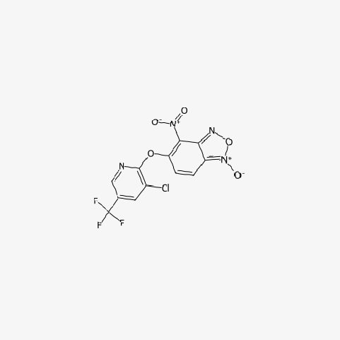 O=[N+]([O-])c1c(Oc2ncc(C(F)(F)F)cc2Cl)ccc2c1no[n+]2[O-]